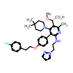 Cc1nc(NCCn2cccn2)c(-c2ccc(OCCc3ccc(F)cc3)cc2)c(N2CCC(C)(C)CC2)c1[C@H](OC(C)(C)C)C(=O)O